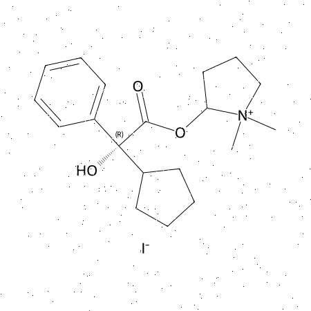 C[N+]1(C)CCCC1OC(=O)[C@](O)(c1ccccc1)C1CCCC1.[I-]